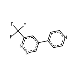 FC(F)(F)c1cc(-c2ccncc2)cnn1